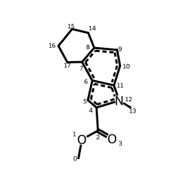 COC(=O)c1cc2c3c(ccc2n1C)CCCC3